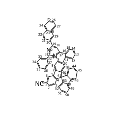 N#Cc1ccc2c(c1)-c1ccc(-c3ccccc3-c3cc(-c4ccc5ccccc5c4)nc(-c4ccccc4)n3)cc1C21c2ccccc2-c2ccccc21